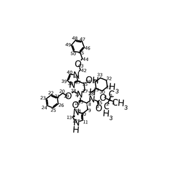 CC(C)(C)OC(=O)N[C@@H](Cc1c[nH]cn1)C(=O)N(COCc1ccccc1)[C@@H](CC1CCCCC1)[C@@H](O)c1nccn1COCc1ccccc1